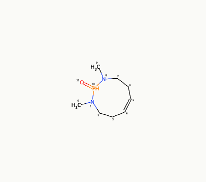 CN1CC/C=C\CCN(C)[PH]1=O